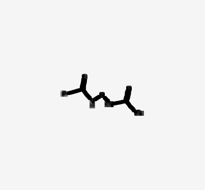 CC(C)C(=O)NONC(=O)C(C)(C)C